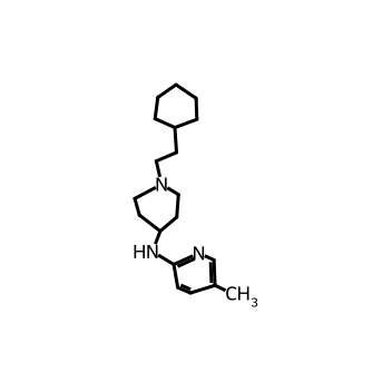 Cc1ccc(NC2CCN(CCC3CCCCC3)CC2)nc1